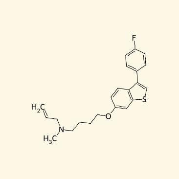 C=CCN(C)CCCCOc1ccc2c(-c3ccc(F)cc3)csc2c1